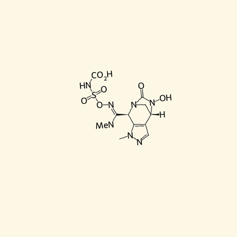 CN/C(=N\OS(=O)(=O)NC(=O)O)[C@@H]1c2c(cnn2C)[C@@H]2CN1C(=O)N2O